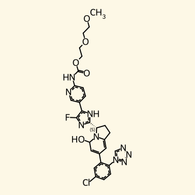 COCCOCCOC(=O)Nc1ccc(-c2[nH]c([C@@H]3CCC4=CC(c5cc(Cl)ccc5-n5cnnn5)=CC(O)N43)nc2F)cn1